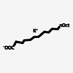 CCCCCCCCCCCCCCCCCCC(=O)[O-].[K+]